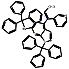 O=C/C=C(\c1cccnc1)c1cc(NC(c2ccccc2)(c2ccccc2)c2ccccc2)nc2c1nnn2C(c1ccccc1)(c1ccccc1)c1ccccc1